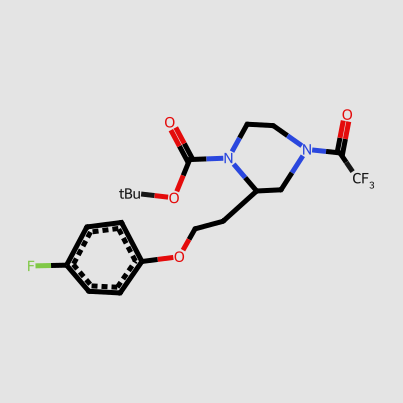 CC(C)(C)OC(=O)N1CCN(C(=O)C(F)(F)F)CC1CCOc1ccc(F)cc1